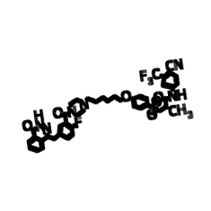 C[C@H](CS(=O)(=O)c1ccc(OCCCCCCN2CCN(C(=O)c3cc(Cc4n[nH]c(=O)c5ccccc45)ccc3F)CC2)cc1)C(=O)Nc1ccc(C#N)c(C(F)(F)F)c1